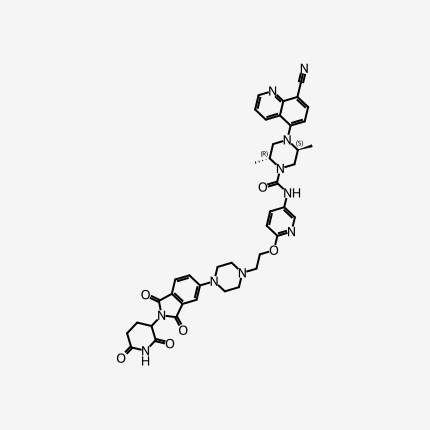 C[C@@H]1CN(c2ccc(C#N)c3ncccc23)[C@@H](C)CN1C(=O)Nc1ccc(OCCN2CCN(c3ccc4c(c3)C(=O)N(C3CCC(=O)NC3=O)C4=O)CC2)nc1